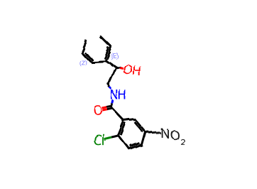 C/C=C\C(=C/C)C(O)CNC(=O)c1cc([N+](=O)[O-])ccc1Cl